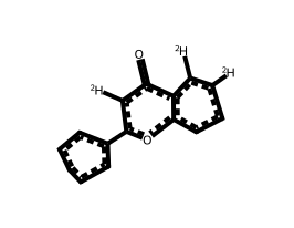 [2H]c1ccc2oc(-c3ccccc3)c([2H])c(=O)c2c1[2H]